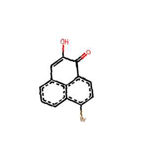 O=C1C(O)=Cc2cccc3c(Br)ccc1c23